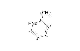 [CH2]C1N=CC=CN1